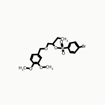 CCC(COCc1ccc(OC)c(OC)c1)OS(=O)(=O)c1ccc(Br)cc1